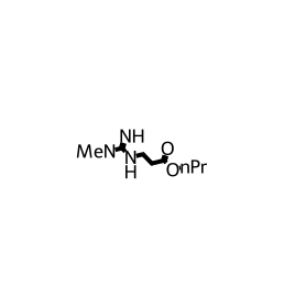 CCCOC(=O)CCNC(=N)NC